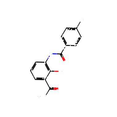 COC(=O)c1cccc(NC(=O)c2ccc(C(F)(F)F)cc2)c1O